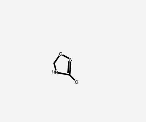 [O]C1=NOCN1